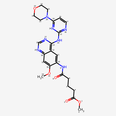 COC(=O)CCCC(=O)Nc1cc2c(Nc3nccc(N4CCOCC4)n3)ncnc2cc1OC